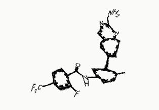 Cc1ccc(NC(=O)c2ccc(C(F)(F)F)cc2F)cc1-c1ccc2nc(N)ncc2c1